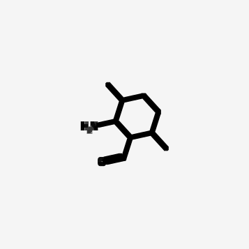 CC1CCC(C)C(C=O)C1N